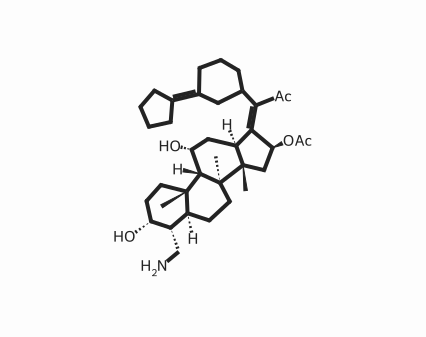 CC(=O)O[C@H]1C[C@@]2(C)[C@@H](C[C@@H](O)[C@H]3[C@@]4(C)CC[C@@H](O)[C@@H](CN)[C@@H]4CC[C@@]32C)/C1=C(/C(C)=O)C1CCCC(=C2CCCC2)C1